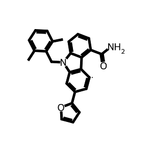 Cc1cccc(C)c1Cn1c2cc(-c3ccco3)c[c]c2c2c(C(N)=O)cccc21